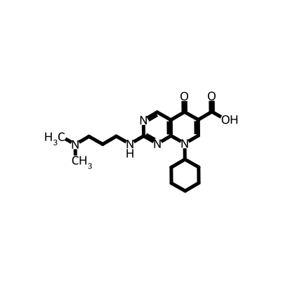 CN(C)CCCNc1ncc2c(=O)c(C(=O)O)cn(C3CCCCC3)c2n1